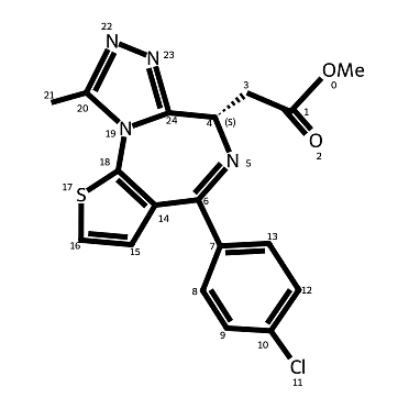 COC(=O)C[C@@H]1N=C(c2ccc(Cl)cc2)c2ccsc2-n2c(C)nnc21